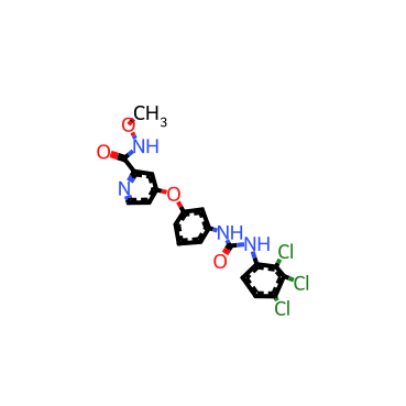 CONC(=O)c1cc(Oc2cccc(NC(=O)Nc3ccc(Cl)c(Cl)c3Cl)c2)ccn1